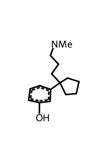 CNCCCC1(c2cccc(O)c2)CCCC1